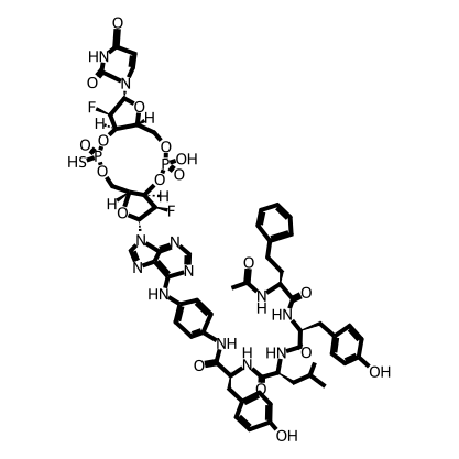 CC(=O)N[C@@H](CCc1ccccc1)C(=O)N[C@@H](Cc1ccc(O)cc1)C(=O)N[C@@H](CC(C)C)C(=O)N[C@@H](Cc1ccc(O)cc1)C(=O)Nc1ccc(Nc2ncnc3c2ncn3[C@@H]2O[C@@H]3COP(=O)(S)O[C@H]4[C@@H](F)[C@H](n5ccc(=O)[nH]c5=O)O[C@@H]4COP(=O)(O)O[C@H]3[C@H]2F)cc1